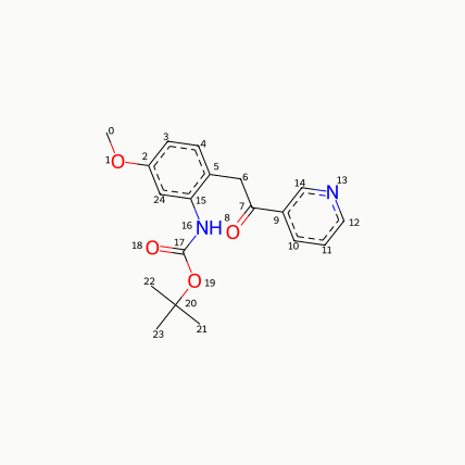 COc1ccc(CC(=O)c2cccnc2)c(NC(=O)OC(C)(C)C)c1